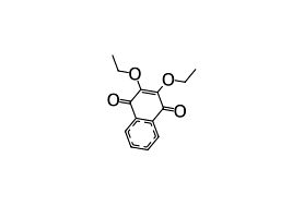 CCOC1=C(OCC)C(=O)c2ccccc2C1=O